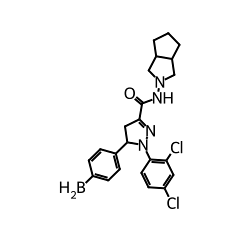 Bc1ccc(C2CC(C(=O)NN3CC4CCCC4C3)=NN2c2ccc(Cl)cc2Cl)cc1